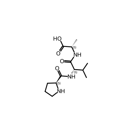 CC(C)[C@H](NC(=O)[C@@H]1CCCN1)C(=O)N[C@@H](C)C(=O)O